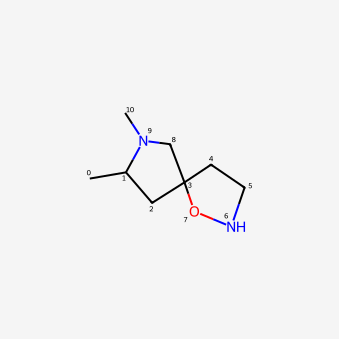 CC1CC2(CCNO2)CN1C